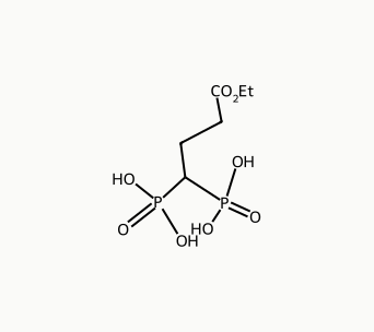 CCOC(=O)CCC(P(=O)(O)O)P(=O)(O)O